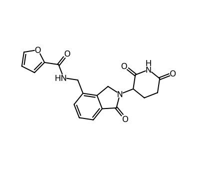 O=C1CCC(N2Cc3c(CNC(=O)c4ccco4)cccc3C2=O)C(=O)N1